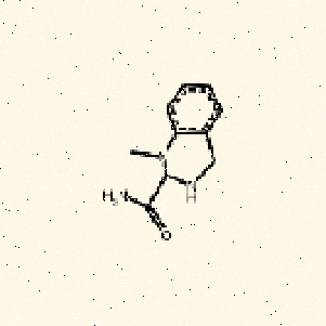 NC(=O)C1NCc2ccccc2N1I